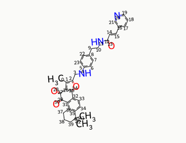 Cc1c(CNc2ccc(CCNC(=O)/C=C/c3cccnc3)cc2)oc2c1C(=O)C(=O)c1c-2ccc2c1CCCC2(C)C